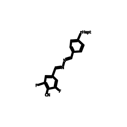 CCCCCCCc1ccc(C=NN=Cc2cc(F)c(C#N)c(F)c2)cc1